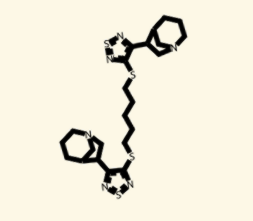 C(CCSc1nsnc1C1CN2CCCC1C2)CCSc1nsnc1C1CN2CCCC1C2